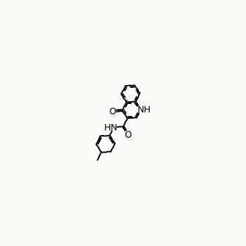 CC1C=CC(NC(=O)c2c[nH]c3ccccc3c2=O)=CC1